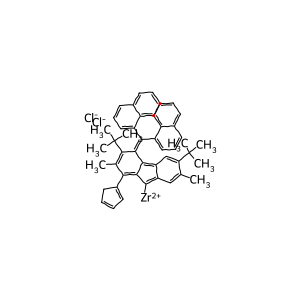 Cc1cc2c(cc1C(C)(C)C)=c1c(c(C3=CC=CC3)c(C)c(C(C)(C)C)c1=C(c1cccc3ccccc13)c1cccc3ccccc13)[C]=2[Zr+2].[Cl-].[Cl-]